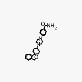 NC(=O)c1ccc(N2CCN(C3CCC4(CC3)OCc3ccccc34)CC2)cc1